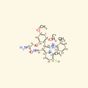 COc1cc(OC)c(-c2c(C#N)c3ccc(F)cn3c2Nc2c(C)cccc2C)c(OCC(N)=O)c1